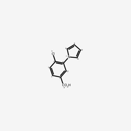 O=C(O)c1ccc(Cl)c(-n2cccc2)c1